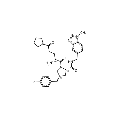 Cn1nnc2cc(CNC(=O)[C@@H]3C[C@@H](Cc4ccc(Br)cc4)CN3C(=O)[C@H](N)CCC(=O)N3CCCC3)ccc21